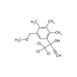 C#CC(O)(c1cc(COC)c(C)c(C)c1C)C(Cl)(Cl)Cl